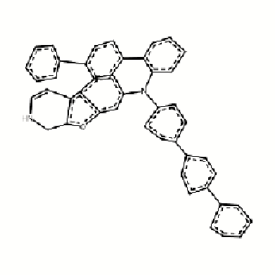 C1=Cc2c(oc3cc(N(c4ccc(-c5ccc(-c6ccccc6)cc5)cc4)c4ccccc4-c4ccc(-c5ccccc5)cc4)ccc23)CN1